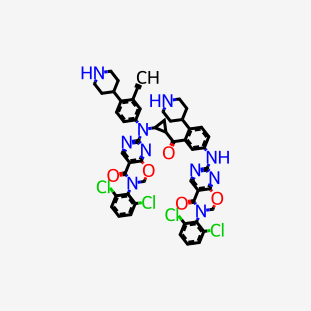 C#Cc1cc(N(c2ncc3c(n2)OCN(c2c(Cl)cccc2Cl)C3=O)C2CC2C(=O)c2cc(Nc3ncc4c(n3)OCN(c3c(Cl)cccc3Cl)C4=O)ccc2C2CCNCC2)ccc1C1CCNCC1